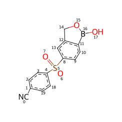 N#Cc1ccc(S(=O)(=O)c2ccc3c(c2)COB3O)cc1